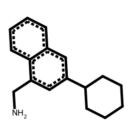 NCc1cc(C2CCCCC2)cc2ccccc12